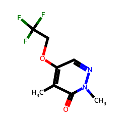 Cc1c(OCC(F)(F)F)cnn(C)c1=O